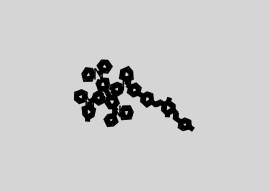 Cc1ccc(C=Cc2cc(C)c(C=Cc3ccc(-c4ccc(N(c5ccccc5)c5ccc([Si](c6ccc(N(c7ccccc7)c7ccccc7)cc6)(c6ccc(N(c7ccccc7)c7ccccc7)cc6)c6ccc(N(c7ccccc7)c7ccc(C)cc7)cc6)cc5)cc4)cc3)cc2C)cc1